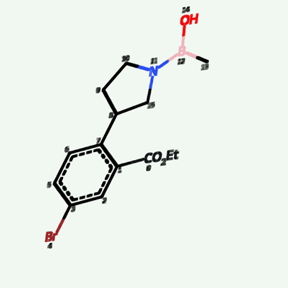 CCOC(=O)c1cc(Br)ccc1C1CCN(B(C)O)C1